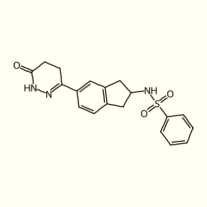 O=C1CCC(c2ccc3c(c2)CC(NS(=O)(=O)c2ccccc2)C3)=NN1